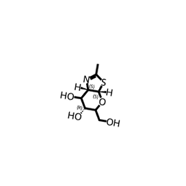 CC1=N[C@H]2C(O)[C@@H](O)C(CO)O[C@H]2S1